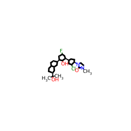 Cn1ccn(-c2ccc(-c3cc(F)cc(-c4ccc5ccc(C(C)(C)O)cc5c4)c3O)cc2Cl)c1=O